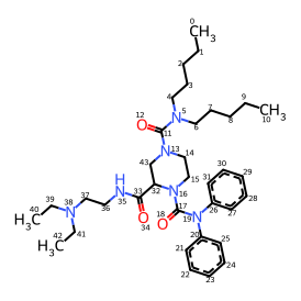 CCCCCN(CCCCC)C(=O)N1CCN(C(=O)N(c2ccccc2)c2ccccc2)C(C(=O)NCCN(CC)CC)C1